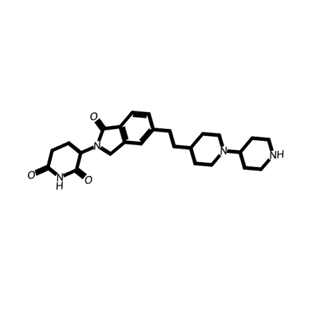 O=C1CCC(N2Cc3cc(CCC4CCN(C5CCNCC5)CC4)ccc3C2=O)C(=O)N1